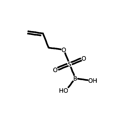 C=CCOS(=O)(=O)B(O)O